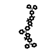 Cc1cc2c(cc1-c1ccc(N(c3ccccc3)c3ccccc3)cc1)C(C)(C)c1cc(-c3ccc(N(c4ccccc4)c4ccc5c(c4)C(C)(C)c4cc(N(c6ccccc6)c6ccccc6)ccc4-5)cc3)c(C)cc1-2